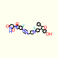 O=C1CC[C@H](N2Cc3cc(N4CCN(CC5CCN(c6ccc(C7c8ccc(O)cc8OCC7c7ccccc7)cc6F)CC5)CC4)c(F)cc3C2=O)C(=O)N1